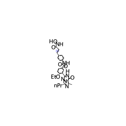 CCCc1nc(C)c2c(=O)[nH]c(-c3cc(S(=O)(=O)Nc4ccc(/C=C/C(=O)NO)cc4)ccc3OCC)nn12